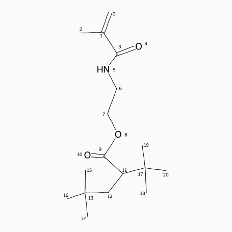 C=C(C)C(=O)NCCOC(=O)C(CC(C)(C)C)C(C)(C)C